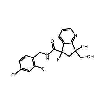 O=C(NCc1ccc(Cl)cc1Cl)C1(F)CC(O)(CO)c2ncccc21